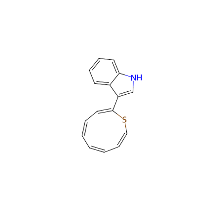 c1cccsc(-c2c[nH]c3ccccc23)ccc1